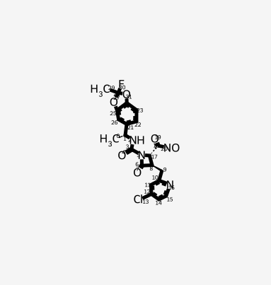 C[C@@H](NC(=O)N1C(=O)[C@H](Cc2cc(Cl)ccn2)[C@H]1C(=O)N=O)c1ccc2c(c1)OC(C)(F)O2